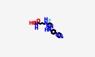 CN1CCN(c2ccc(Nc3ncc(F)c(NCCCC(=O)NO)n3)cc2)CC1